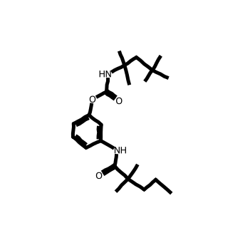 CCCC(C)(C)C(=O)Nc1cccc(OC(=O)NC(C)(C)CC(C)(C)C)c1